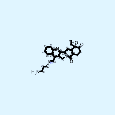 CC[C@@]1(O)C(=O)CCc2c1cc1n(c2=O)Cc2c-1nc1ccccc1c2/C=N/OCCN